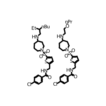 CCCCC(CC)CNC1CCCN(S(=O)(=O)c2ccc(CNC(=O)c3ccc(Cl)cc3)s2)CC1.CCCOCCNC1CCCN(S(=O)(=O)c2ccc(CNC(=O)c3ccc(Cl)cc3)s2)CC1